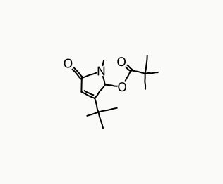 CN1C(=O)C=C(C(C)(C)C)C1OC(=O)C(C)(C)C